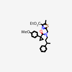 CCOC(=O)c1nc(CN(CCC(C)c2ccccc2)C(=O)C2(c3ccc(OC)cc3)CC2)sc1C